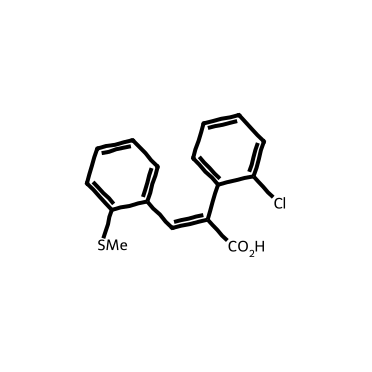 CSc1ccccc1C=C(C(=O)O)c1ccccc1Cl